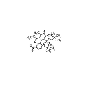 COC(=O)C1=C(C)NC(C)=C(P(=O)(OCC(C)(C)C)OCC(C)(C)C)C1c1cccc([N+](=O)[O-])c1